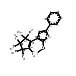 COc1sc(-c2ccccc2)cc1C1=C(F)C(F)(F)C(F)(F)C1(F)F